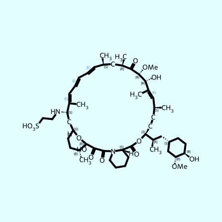 CO[C@@H]1C[C@H](C[C@@H](C)[C@@H]2CC[C@H](C)/C=C(\C)[C@@H](O)[C@@H](OC)C(=O)[C@H](C)C[C@H](C)/C=C/C=C/C=C(\C)[C@@H](NCCS(=O)(=O)O)C[C@@H]3CC[C@@H](C)[C@@](O)(O3)C(=O)C(=O)N3CCCC[C@H]3C(=O)O2)CC[C@H]1O